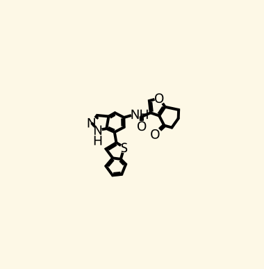 O=C(Nc1cc(-c2cc3ccccc3s2)c2[nH]ncc2c1)c1coc2c1C(=O)CCC2